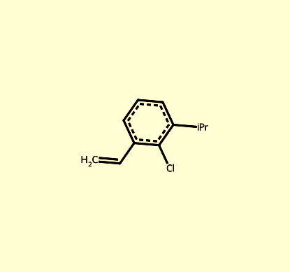 C=Cc1cccc(C(C)C)c1Cl